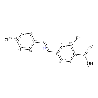 O=C(O)c1ccc(/C=C/c2ccc(Cl)cc2)cc1F